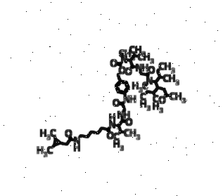 CCC(C)C(CC(C)=O)C(C(C)CC)N(C)C(=O)CNC(=O)C(C(C)C)N(C)C(=O)OCc1ccc(NC(=O)CNC(=O)C(NC(=O)CCCCCNC(=O)CC2C(C)C2C)C(C)C)cc1